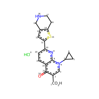 Cl.O=C(O)c1cn(C2CC2)c2nc(-c3cc4c(s3)CCNC4)ccc2c1=O